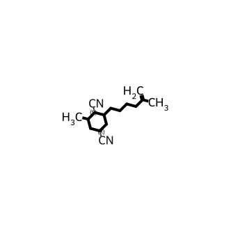 C=C(C)CCCCC1C[C@H](C#N)CC(C)[C@@H]1C#N